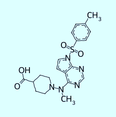 Cc1ccc(S(=O)(=O)n2ccc3c(N(C)N4CCC(C(=O)O)CC4)ncnc32)cc1